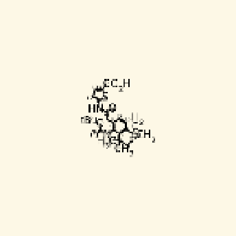 CC(C)(C)OC(=O)Nc1c(CC(=O)Nc2ccc(C(=O)O)s2)ccc2c1C(C)(C)CCC2(C)C